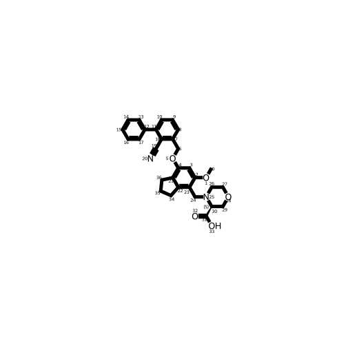 COc1cc(OCc2cccc(-c3ccccc3)c2C#N)c2c(c1CN1CCOC[C@H]1C(=O)O)CCC2